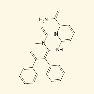 C=CN(C)/C(NC1=CC=CC(C(=C)N)N1)=C(\C(=C)c1ccccc1)c1ccccc1